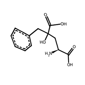 N[C@@H](CC(O)(Cc1ccccc1)C(=O)O)C(=O)O